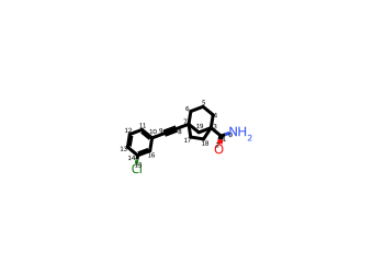 NC(=O)C12CCCC(C#Cc3cccc(Cl)c3)(CC1)C2